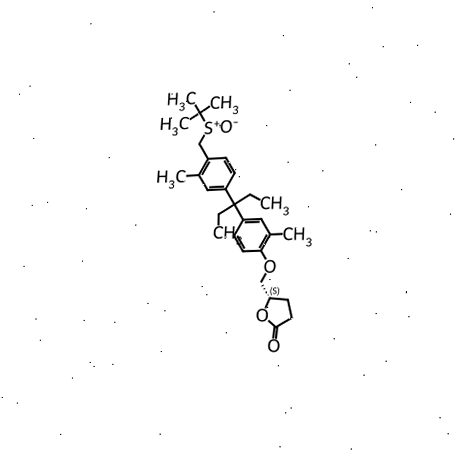 CCC(CC)(c1ccc(C[S+]([O-])C(C)(C)C)c(C)c1)c1ccc(OC[C@@H]2CCC(=O)O2)c(C)c1